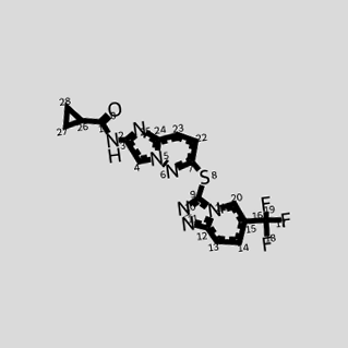 O=C(Nc1cn2nc(Sc3nnc4ccc(C(F)(F)F)cn34)ccc2n1)C1CC1